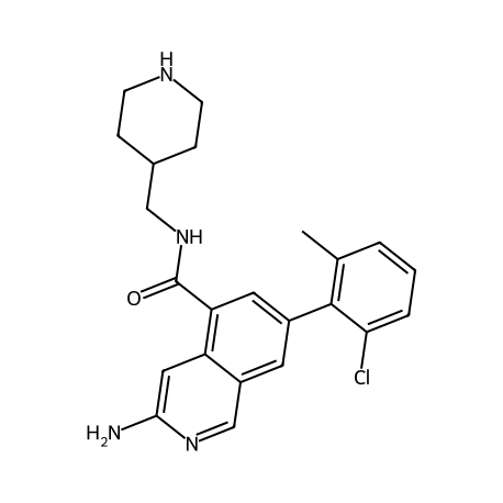 Cc1cccc(Cl)c1-c1cc(C(=O)NCC2CCNCC2)c2cc(N)ncc2c1